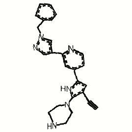 C#Cc1cc(-c2ccnc(-c3cnn(Cc4ccccc4)c3)c2)[nH]c1N1CCNCC1